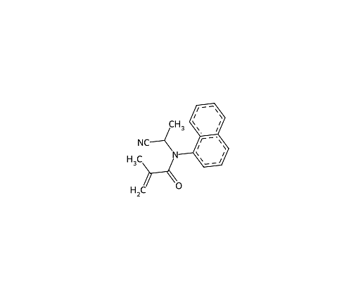 C=C(C)C(=O)N(c1cccc2ccccc12)C(C)C#N